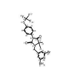 Bc1cc(CN2C(=O)N(c3ccc(SC(F)(F)F)cc3)C(=O)C2(C)C)cc(Br)n1